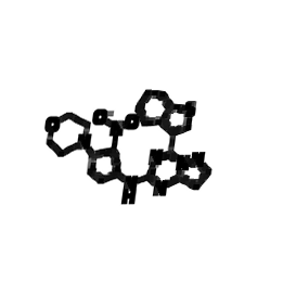 O=[N+]([O-])c1cc(Nc2nc(-c3csc4ccccc34)n3nccc3n2)ccc1N1CCOCC1